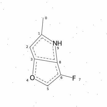 Cc1cc2occ(F)c2[nH]1